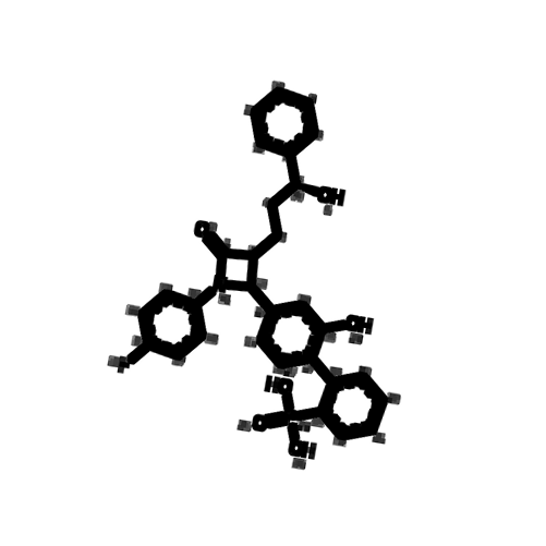 O=C1C(CC[C@H](O)c2ccccc2)C(c2ccc(-c3ccccc3P(=O)(O)O)c(O)c2)N1c1ccc(F)cc1